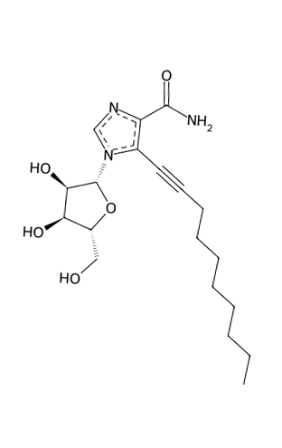 CCCCCCCCC#Cc1c(C(N)=O)ncn1[C@@H]1O[C@H](CO)[C@@H](O)[C@H]1O